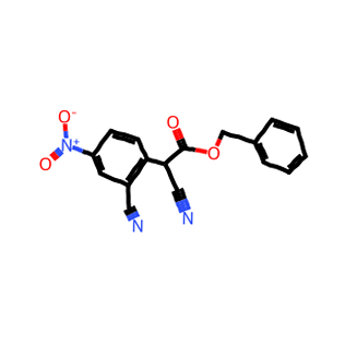 N#Cc1cc([N+](=O)[O-])ccc1C(C#N)C(=O)OCc1ccccc1